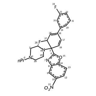 CCCN1CCN(C2(c3nc4cc([N+](=O)[O-])ccc4o3)C=CC(c3cccc(F)c3)=CC2F)CC1